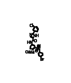 COc1ccc(NC(=O)c2cnc(-c3cccc(Cl)c3)[nH]2)cc1S(=O)(=O)Nc1ccc(Br)cc1